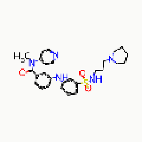 CN(C(=O)c1cccc(Nc2cccc(S(=O)(=O)NCCCN3CCCCC3)c2)c1)c1ccncc1